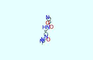 Cc1cc(C(=O)N2CCC3(CC2)CC3CNC(=O)c2cc3ccncc3o2)nn1C